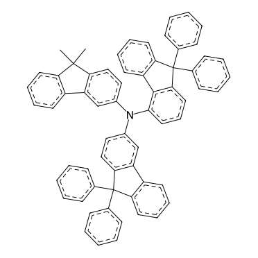 CC1(C)c2ccccc2-c2cc(N(c3ccc4c(c3)-c3ccccc3C4(c3ccccc3)c3ccccc3)c3cccc4c3-c3ccccc3C4(c3ccccc3)c3ccccc3)ccc21